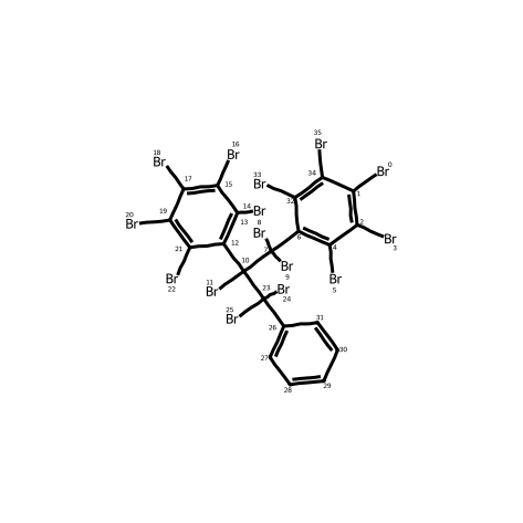 Brc1c(Br)c(Br)c(C(Br)(Br)C(Br)(c2c(Br)c(Br)c(Br)c(Br)c2Br)C(Br)(Br)c2ccccc2)c(Br)c1Br